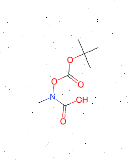 CN(OC(=O)OC(C)(C)C)C(=O)O